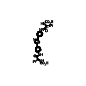 CC(C)[C@H](NC(=O)O)C(=O)Nc1ccc(-c2cnc(-c3ccc(NC(=O)[C@@H](NC(=O)O)C(C)C)cc3)o2)cc1